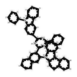 c1ccc(-c2nc(-c3ccc4c(c3)c3ccccc3n4-c3ccccc3)nc(-c3cc4ccccc4cc3-n3c4ccccc4c4c5ccccc5ccc43)n2)cc1